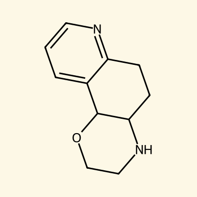 c1cnc2c(c1)C1OCCNC1CC2